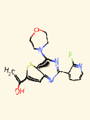 C=C(O)c1cc2nc(-c3cccnc3F)nc(N3CCOCC3)c2s1